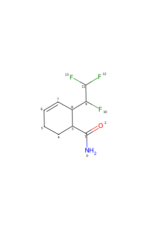 NC(=O)C1CCC=CC1C(F)C(F)F